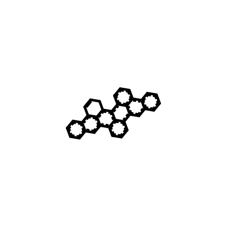 C1=Cc2c3ccccc3cc3c2c(c2c4cccc5c6ccccc6cc(c6cccc3c62)c54)C1